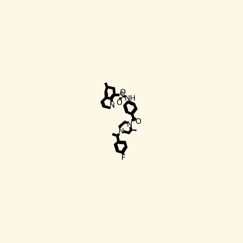 CC1C=c2cccnc2=C(S(=O)(=O)Nc2ccc(C(=O)N3CCN(C(C)c4ccc(F)cc4)C[C@@H]3C)cc2)C1